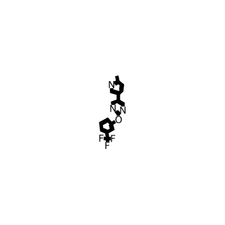 Cc1ccc(-c2cnc(Oc3cccc(C(F)(F)F)c3)nc2)cn1